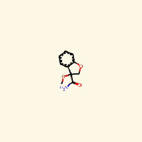 COC1(C(N)=O)COc2ccccc21